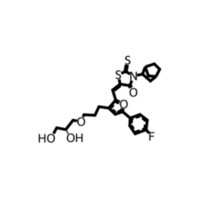 O=C1/C(=C\c2oc(-c3ccc(F)cc3)cc2CCCOC[C@H](O)CO)SC(=S)N1C1CC2CCC1C2